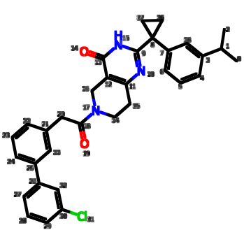 CC(C)c1cccc(C2(c3nc4c(c(=O)[nH]3)CN(C(=O)Cc3cccc(-c5cccc(Cl)c5)c3)CC4)CC2)c1